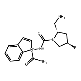 NC[C@@H]1C[C@@H](F)CN1C(=O)N[N+]1(C(N)=O)C=Cc2ccccc21